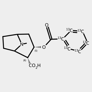 CN1C2CCC1[C@@H](C(=O)O)[C@@H](OC(=O)[13c]1[13cH][13cH][13cH][13cH][13cH]1)C2